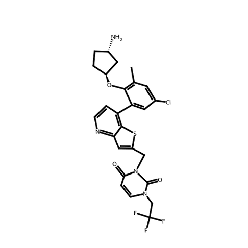 Cc1cc(Cl)cc(-c2ccnc3cc(Cn4c(=O)ccn(CC(F)(F)F)c4=O)sc23)c1O[C@H]1CC[C@H](N)C1